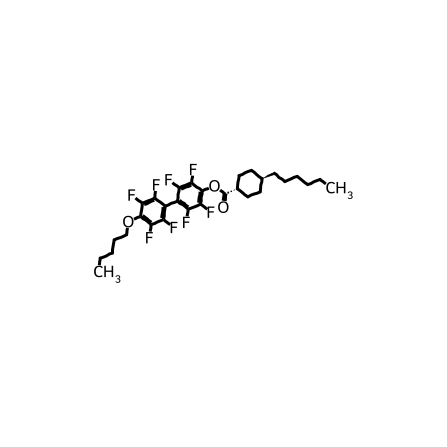 CCCCCC[C@H]1CC[C@H](C(=O)Oc2c(F)c(F)c(-c3c(F)c(F)c(OCCCCC)c(F)c3F)c(F)c2F)CC1